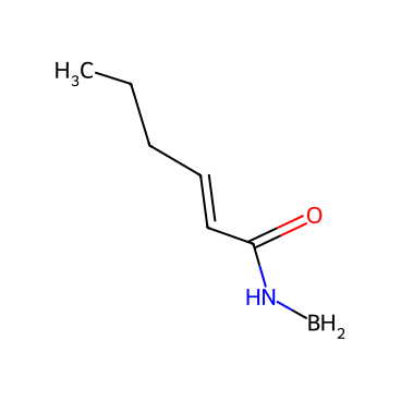 BNC(=O)/C=C/CCC